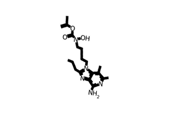 C=C(C)OC(=O)N(O)CCCCn1c(CCC)nc2c(N)nc(C)c(C)c21